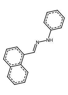 C(=NNc1ccccc1)c1cccc2ccccc12